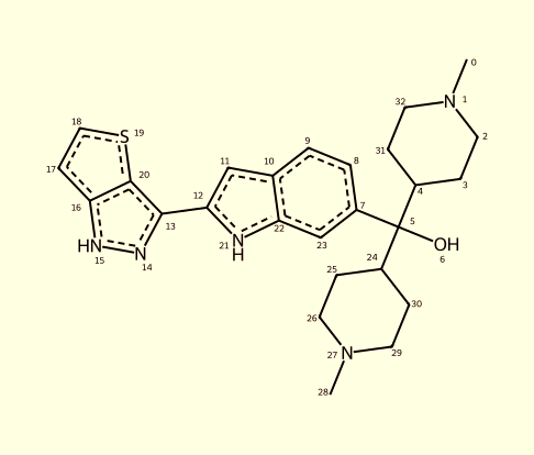 CN1CCC(C(O)(c2ccc3cc(-c4n[nH]c5ccsc45)[nH]c3c2)C2CCN(C)CC2)CC1